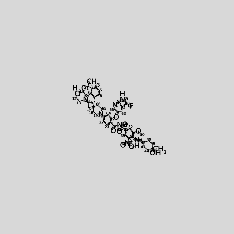 CC(C)c1ccccc1[C@@H]1COCCN1C1CC2(CCN(c3ccc(C(=O)NS(=O)(=O)c4cc5c(c([N+](=O)[O-])c4)N[C@@H]([C@H]4CC[C@](C)(O)CC4)CO5)c(Oc4cnc5[nH]cc(F)c5c4)c3)CC2)C1